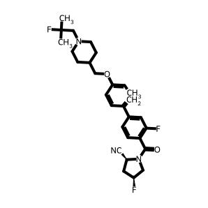 C=C(/C=C\C(=C/C)OCC1CCN(CC(C)(C)F)CC1)c1ccc(C(=O)N2C[C@@H](F)C[C@H]2C#N)c(F)c1